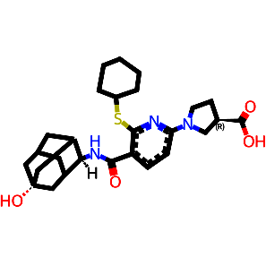 O=C(N[C@H]1C2CC3CC1C[C@](O)(C3)C2)c1ccc(N2CC[C@@H](C(=O)O)C2)nc1SC1CCCCC1